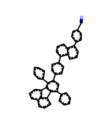 N#Cc1ccc(-c2cccc3c(-c4ccc(-c5cc(-c6ccccc6)c6c(c5-c5ccccc5)-c5cccc7cccc-6c57)cc4)cccc23)cc1